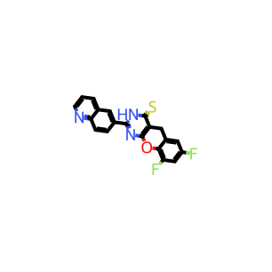 Fc1cc(F)c2c(c1)Cc1c(nc(-c3ccc4ncccc4c3)[nH]c1=S)O2